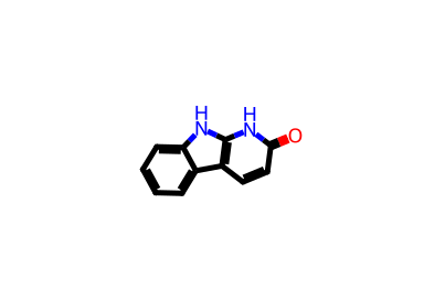 O=c1ccc2c([nH]1)[nH]c1ccccc12